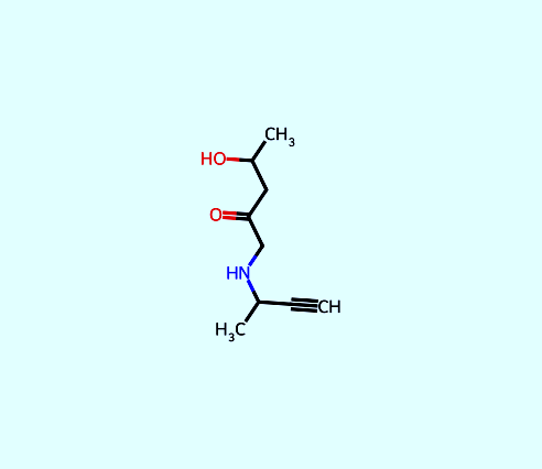 C#CC(C)NCC(=O)CC(C)O